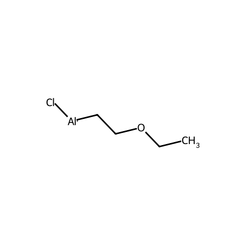 CCOC[CH2][Al][Cl]